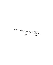 C=C(C)C(=O)OCCCCCCCCCCCCCCCC.CC=CC